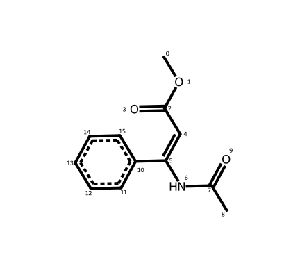 COC(=O)/C=C(/NC(C)=O)c1ccccc1